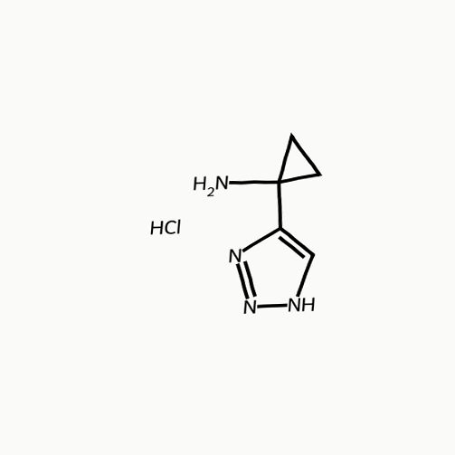 Cl.NC1(c2c[nH]nn2)CC1